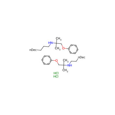 CCCCCCCCCCCCCNC(C)(C)COc1ccccc1.CCCCCCCCCCCCNC(C)(C)COc1ccccc1.Cl.Cl